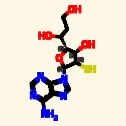 Nc1ncnc2c1ncn2[C@@H]1O[C@H](C(O)CCO)[C@@H](O)[C@H]1S